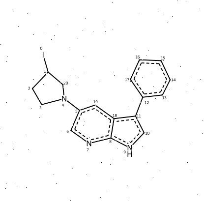 IC1CCN(c2cnc3[nH]cc(-c4ccccc4)c3c2)C1